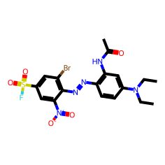 CCN(CC)c1ccc(/N=N/c2c(Br)cc(S(=O)(=O)F)cc2[N+](=O)[O-])c(NC(C)=O)c1